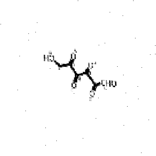 O=CC(=O)C(=O)C(=O)C(=O)CO